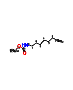 C#CCCCCCCNC(=O)OC(C)(C)C